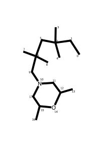 CCC(C)(C)CC(C)(C)CN1CC(C)OC(C)C1